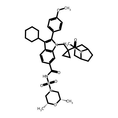 COc1ccc(-c2c(C3CCCCC3)c3ccc(C(=O)NS(=O)(=O)N4C[C@@H](C)O[C@@H](C)C4)cc3n2CC2(C(=O)N3C4CCC3CN(C)C4)CC2)cc1